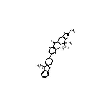 CC1(C)CN(C(=O)c2ncc(N3CCC4(CC3)Cc3ccccc3[C@H]4N)nc2N)Cc2sc(N)nc21